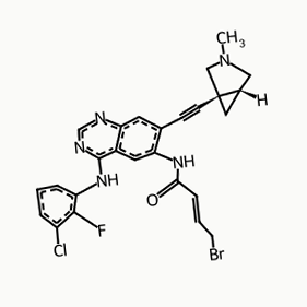 CN1C[C@@H]2C[C@]2(C#Cc2cc3ncnc(Nc4cccc(Cl)c4F)c3cc2NC(=O)/C=C/CBr)C1